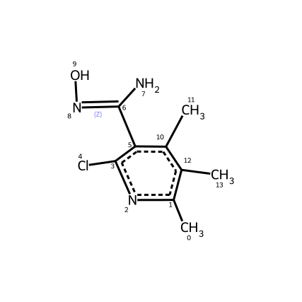 Cc1nc(Cl)c(/C(N)=N/O)c(C)c1C